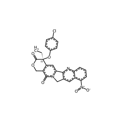 CC[C@@]1(Oc2ccc(Cl)cc2)C(=O)OCc2c1cc1n(c2=O)Cc2cc3c([N+](=O)[O-])cccc3nc2-1